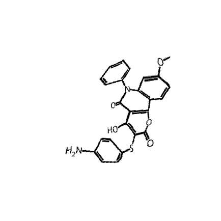 COc1ccc2c3oc(=O)c(Sc4ccc(N)cc4)c(O)c3c(=O)n(-c3ccccc3)c2c1